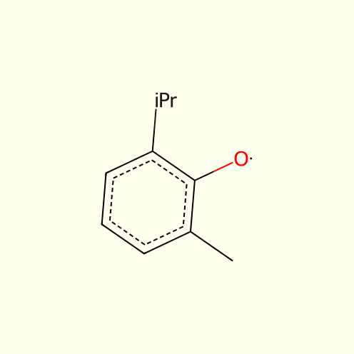 Cc1cccc(C(C)C)c1[O]